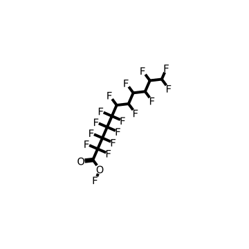 O=C(OF)C(F)(F)C(F)(F)C(F)(F)C(F)(F)C(F)C(F)C(F)C(F)C(F)C(F)F